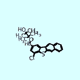 CC(C)(O)C(C)(C)OBc1cc(Cl)c2sc3cc4ccccc4cc3c2c1